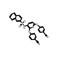 N#Cc1ccc(Oc2ccc(NS(=O)(=O)c3ccc4ccccc4c3)c(Oc3ccc(C#N)cc3)n2)cc1